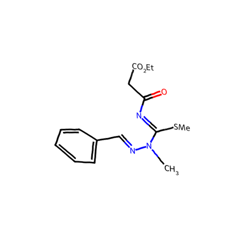 CCOC(=O)CC(=O)N=C(SC)N(C)N=Cc1ccccc1